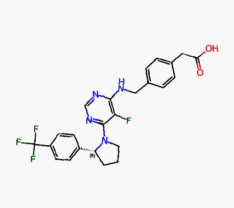 O=C(O)Cc1ccc(CNc2ncnc(N3CCC[C@@H]3c3ccc(C(F)(F)F)cc3)c2F)cc1